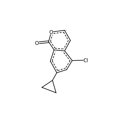 O=c1o[c]cc2c(Cl)cc(C3CC3)cc12